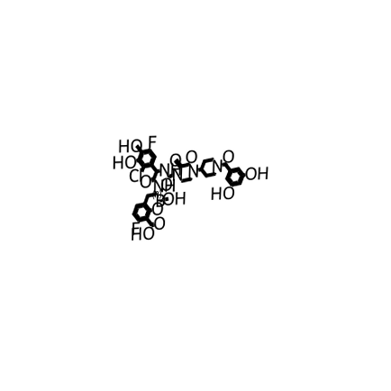 O=C(O)c1c(F)ccc2c1OB(O)[C@@H](NC(=O)C(NC(=O)N1CCN(C3CCN(C(=O)c4cc(O)cc(O)c4)CC3)C(=O)C1=O)c1cc(F)c(O)c(O)c1Cl)C2